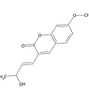 COc1ccc2cc(/C=C/C(C)O)c(=O)oc2c1